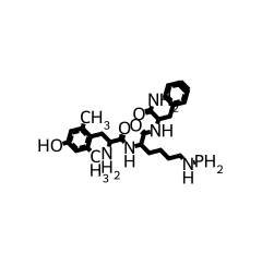 Cc1cc(O)cc(C)c1CC(N)C(=O)NC(CCCCNP)C(=O)NC(Cc1cc#ccc1)C(N)=O